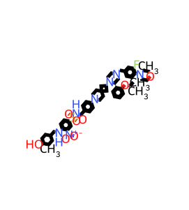 CC(C)Oc1ccccc1[C@H]1CN(Cc2ccc(N3CCOC[C@H]3C)c(F)c2)CCN1C1CC2(CCN(c3ccc(C(=O)NS(=O)(=O)c4ccc(NCC5CCC(C)(O)CC5)c([N+](=O)[O-])c4)cc3)CC2)C1